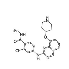 CC(C)NC(=O)c1ccc(Nc2ncc3cccc(OC4CCNCC4)c3n2)cc1Cl